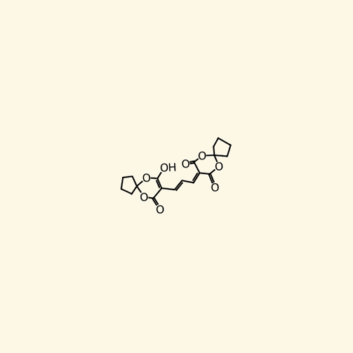 O=C1OC2(CCCC2)OC(=O)C1=CC=CC1=C(O)OC2(CCCC2)OC1=O